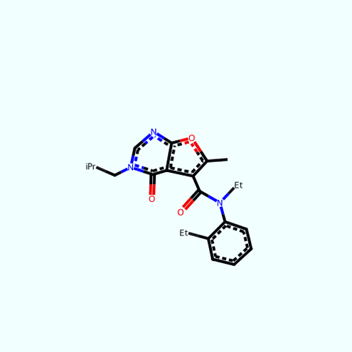 CCc1ccccc1N(CC)C(=O)c1c(C)oc2ncn(CC(C)C)c(=O)c12